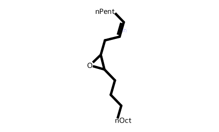 CCCCC/C=C\CC1OC1CCCCCCCCCCC